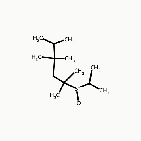 CC(C)[S+]([O-])C(C)(C)CC(C)(C)C(C)C